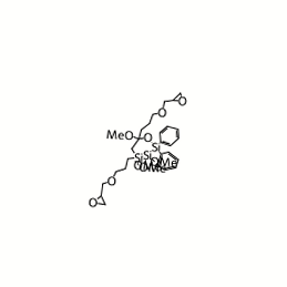 COC1(CCCOCC2CO2)C[Si](CCCOCC2CO2)(OC)[Si](OC)(OC)[Si](c2ccccc2)(c2ccccc2)O1